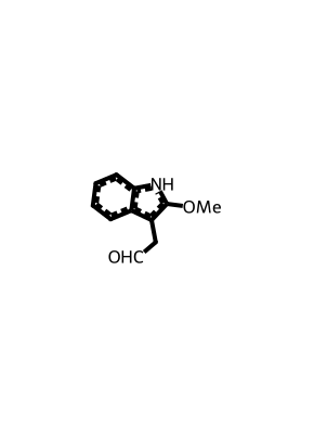 COc1[nH]c2ccccc2c1CC=O